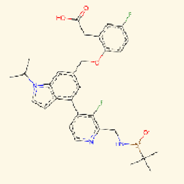 CC(C)n1ccc2c(-c3ccnc(CN[S+]([O-])C(C)(C)C)c3F)cc(COc3ccc(F)cc3CC(=O)O)cc21